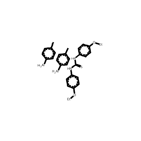 CCOc1ccc(NC(=S)Nc2ccc(OCC)cc2)cc1.Cc1cc[c]([AlH2])cc1.Cc1cc[c]([AlH2])cc1